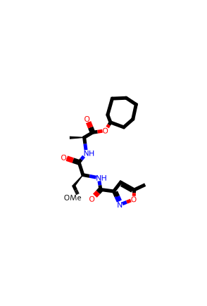 COC[C@H](NC(=O)c1cc(C)on1)C(=O)N[C@@H](C)C(=O)OC1CCCCCC1